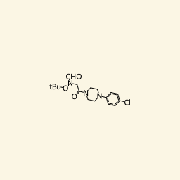 CC(C)(C)ON(C=O)CC(=O)N1CCN(c2ccc(Cl)cc2)CC1